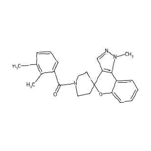 Cc1cccc(C(=O)N2CCC3(CC2)Oc2ccccc2-c2c3cnn2C)c1C